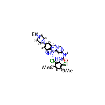 C=N/C(=C\C(=N/C)N(C)C(=O)Nc1c(Cl)c(OC)cc(OC)c1Cl)Nc1ccc(N2CCN(CC)CC2)cc1N